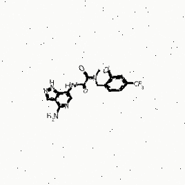 CN(Cc1ccc(C(F)(F)F)cc1Cl)C(=O)C(=O)Nc1cnc(N)c2cn[nH]c12